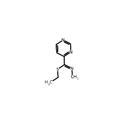 CCS/C(=N\C)c1ccncn1